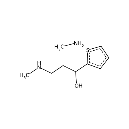 CN.CNCCC(O)c1cccs1